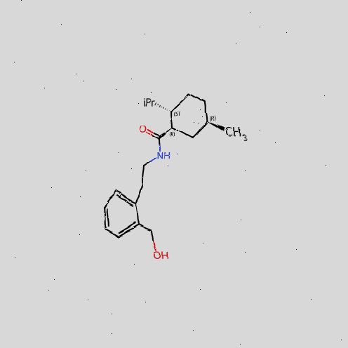 CC(C)[C@@H]1CC[C@@H](C)C[C@H]1C(=O)NCCc1ccccc1CO